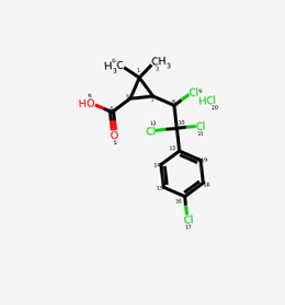 CC1(C)C(C(=O)O)C1C(Cl)C(Cl)(Cl)c1ccc(Cl)cc1.Cl